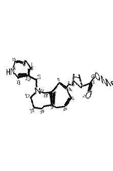 COC(=O)Nc1ccc2c(c1)N(Cc1c[nH]cn1)CCC2